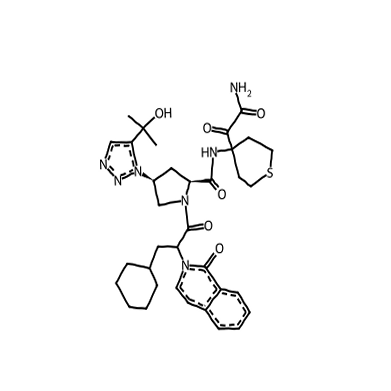 CC(C)(O)c1cnnn1[C@H]1C[C@@H](C(=O)NC2(C(=O)C(N)=O)CCSCC2)N(C(=O)C(CC2CCCCC2)n2ccc3ccccc3c2=O)C1